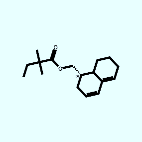 CCC(C)(C)C(=O)OC[C@H]1CC=CC2=CCCCC21